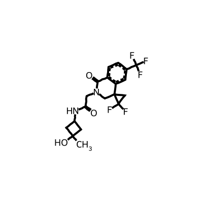 CC1(O)CC(NC(=O)CN2CC3(CC3(F)F)c3cc(C(F)(F)F)ccc3C2=O)C1